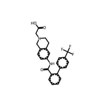 O=C(O)CN1CCc2cc(NC(=O)c3ccccc3-c3ccc(C(F)(F)F)cc3)ccc2C1